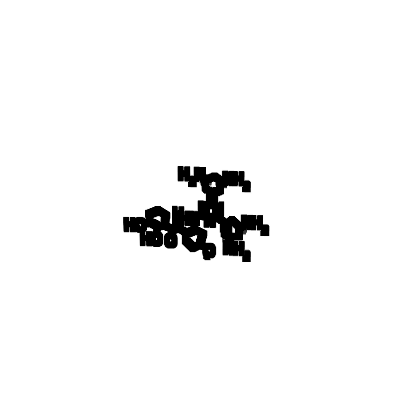 COc1ccc(NC(=O)c2cccc(O)c2O)c(Nc2nc(N3C[C@H](N)C[C@H](N)C3)nc(N3C[C@H](N)C[C@H](N)C3)n2)c1